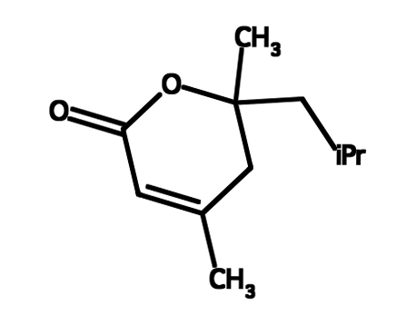 CC1=CC(=O)OC(C)(CC(C)C)C1